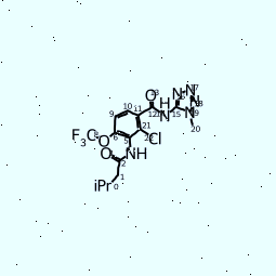 CC(C)CC(=O)Nc1c(OC(F)(F)F)ccc(C(=O)Nc2nnnn2C)c1Cl